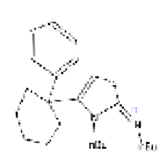 CCCC/N=c1/scc(C2(c3ccccc3)CCCCC2)n1CCCC